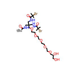 CC(C)(C)C(=O)NCC(CNC(=O)C(C)(C)Br)(CNC(=O)C(C)(C)Br)COCCOCCOCCOCCOCC(O)CO